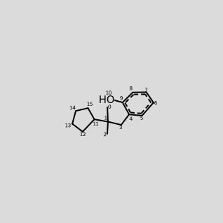 CC(C)(Cc1ccccc1O)C1CCCC1